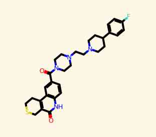 O=C(c1ccc2[nH]c(=O)c3c(c2c1)CCSC3)N1CCN(CCN2CCC(c3ccc(F)cc3)CC2)CC1